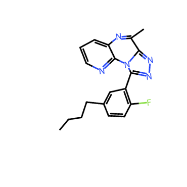 CCCCc1ccc(F)c(-c2nnc3c(C)nc4cccnc4n23)c1